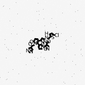 O=C(Cn1c(-c2cccnc2)c(-c2cc(NCc3ccc(Cl)s3)n(C(=O)c3cnoc3)n2)ccc1=O)c1cncnc1